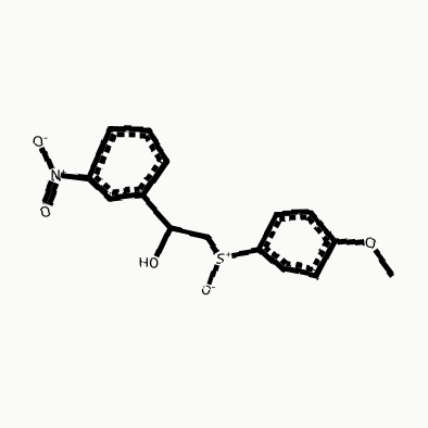 COc1ccc([S+]([O-])CC(O)c2cccc([N+](=O)[O-])c2)cc1